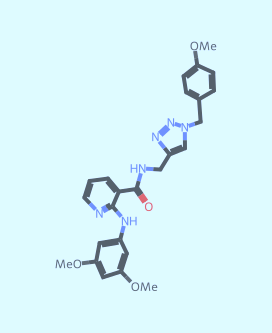 COc1ccc(Cn2cc(CNC(=O)c3cccnc3Nc3cc(OC)cc(OC)c3)nn2)cc1